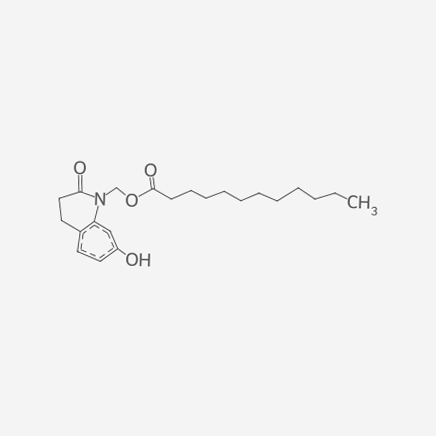 CCCCCCCCCCCC(=O)OCN1C(=O)CCc2ccc(O)cc21